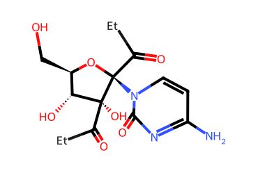 CCC(=O)[C@@]1(O)[C@H](O)[C@@H](CO)O[C@@]1(C(=O)CC)n1ccc(N)nc1=O